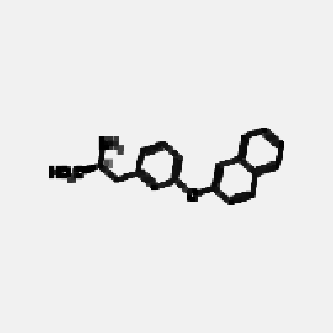 N[C@@H](Cc1cccc(Oc2ccc3ccccc3c2)c1)C(=O)O